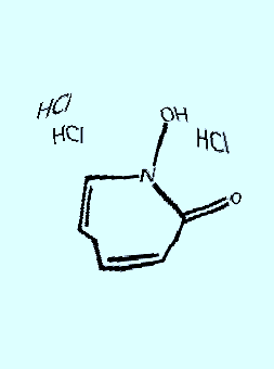 Cl.Cl.Cl.O=c1ccccn1O